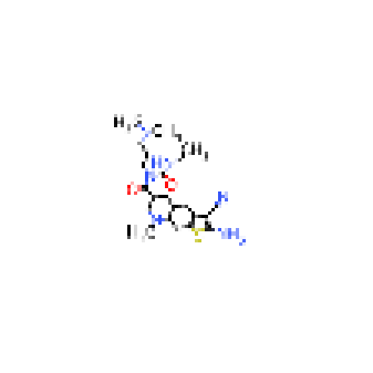 CCNC(=O)N(CCCN(C)C)C(=O)C1CC2Cc3c(sc(N)c3C#N)CC2N(C)C1